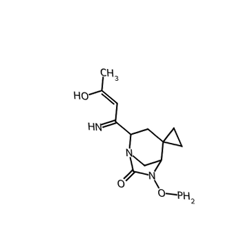 C/C(O)=C/C(=N)C1CC2(CC2)C2CN1C(=O)N2OP